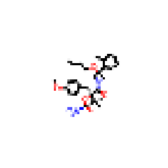 CCCCOC1(c2ccccc2C)CN(C(=O)[C@](Cc2ccc(OC)cc2)(OC(N)=O)C(C)(C)C)C1